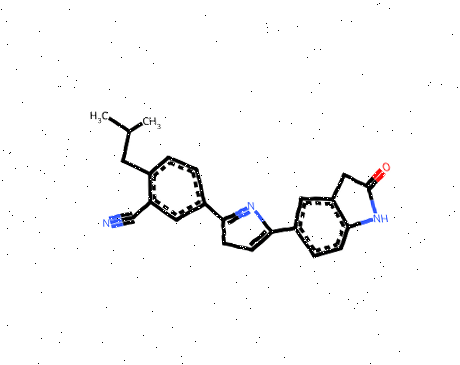 CC(C)Cc1ccc(C2=NC(c3ccc4c(c3)CC(=O)N4)=CC2)cc1C#N